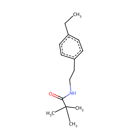 CCc1ccc(CCNC(=O)C(C)(C)C)cc1